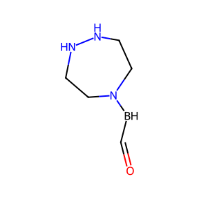 O=CBN1CCNNCC1